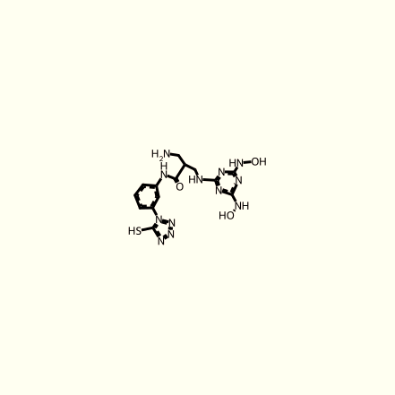 NCC(CNc1nc(NO)nc(NO)n1)C(=O)Nc1cccc(-n2nnnc2S)c1